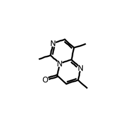 Cc1cc(=O)n2c(C)ncc(C)c2n1